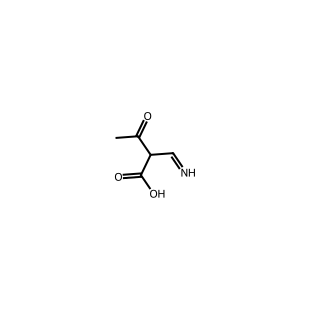 CC(=O)C(C=N)C(=O)O